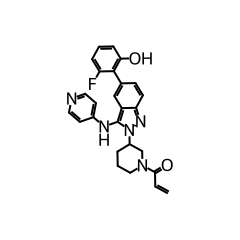 C=CC(=O)N1CCCC(n2nc3ccc(-c4c(O)cccc4F)cc3c2Nc2ccncc2)C1